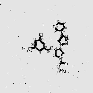 CC(C)(C)OC(=O)N1C[C@@H](n2cc(-c3cccnc3)nn2)[C@H](OCc2cc(Cl)cc(C(F)(F)F)c2)C1